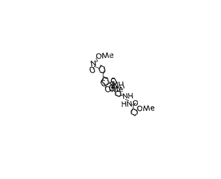 COCCN(C)C(=O)c1cccc(-c2ccc(OC)c(S(=O)(=O)Nc3cccc(NCCNC(=O)c4ccccc4OC)c3)c2)c1